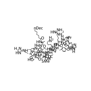 CCCCCCCCCCCCCCCC(=O)N[C@@H](C)C(=O)N[C@@H](CCCCN)C(=O)N[C@H]1CC(C)N([C@@H](CCCNC(=N)N)C(=O)N[C@@H](CO)C(=O)N[C@@H](CCSC)C(=O)N[C@H](C(=O)N[C@@H](CC(=O)O)C(=O)N[C@@H](CCCCN)C(=O)N[C@@H](Cc2ccc(O)cc2)C(=O)N[C@@H](CCCNC(=N)N)C(=O)N[C@@H](CC(C)C)C(=O)N[C@@H](Cc2c[nH]cn2)C(N)=O)[C@@H](C)O)C1=O